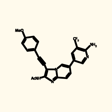 COc1ccc(C#Cc2c(NC(C)=O)nc3ccc(-c4cnc(N)c(C(F)(F)F)c4)cn23)cc1